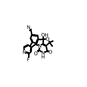 Cc1cc(C#N)cc(C2(O)OC(C)(C)c3c2n(Cc2ccnc(F)c2)c(=O)[nH]c3=O)c1